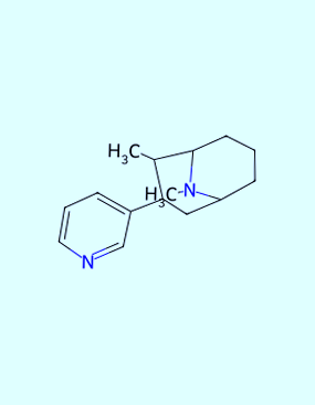 CC1C(c2cccnc2)CC2CCCC1N2C